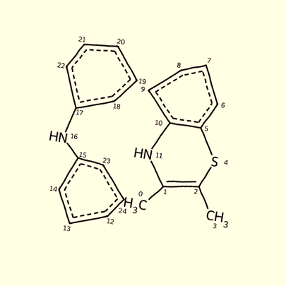 CC1=C(C)Sc2ccccc2N1.c1ccc(Nc2ccccc2)cc1